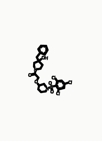 O=C(COC1CCCN(S(=O)(=O)c2c(Cl)cc(Cl)cc2Cl)C1)N1CCC(O)(Cc2ccccc2)CC1